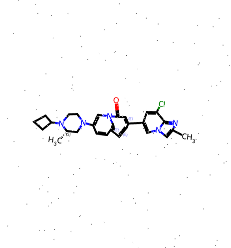 Cc1cn2cc(C3=C\C(=O)N4C=C(N5CCN(C6CCC6)[C@@H](C)C5)C=C\C4=C/C=C/3)cc(Cl)c2n1